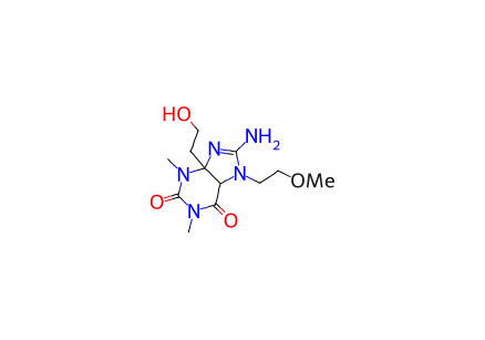 COCCN1C(N)=NC2(CCO)C1C(=O)N(C)C(=O)N2C